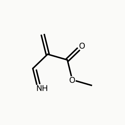 C=C(C=N)C(=O)OC